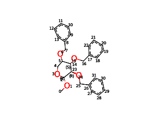 CO[C@@H]1OCC(OCc2ccccc2)[C@H](OCc2ccccc2)[C@H]1OCc1ccccc1